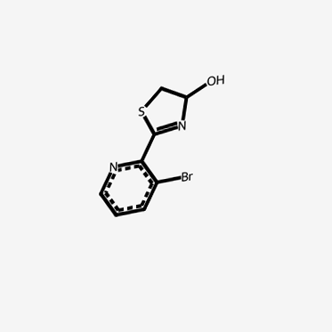 OC1CSC(c2ncccc2Br)=N1